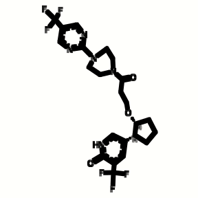 O=C(CCO[C@@H]1CCC[C@@H]1c1c[nH]c(=O)c(C(F)(F)F)c1)N1CCN(c2ncc(C(F)(F)F)cn2)CC1